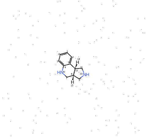 c1ccc2c(c1)NC[C@H]1CNC[C@@H]21